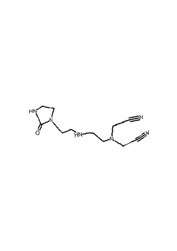 N#CCN(CC#N)CCNCCN1CCNC1=O